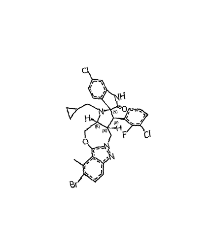 Cc1c(Br)ccc2nn3c(c12)OC[C@H]1[C@@H](C3)[C@H](c2cccc(Cl)c2F)[C@]2(C(=O)Nc3cc(Cl)ccc32)N1CC1CC1